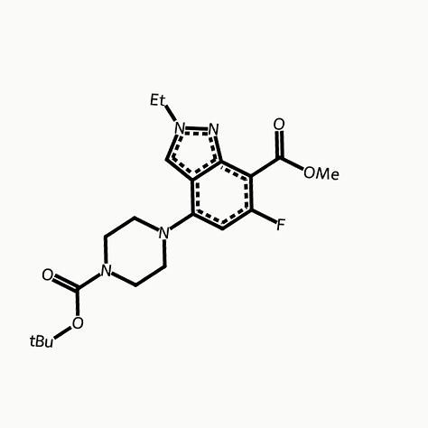 CCn1cc2c(N3CCN(C(=O)OC(C)(C)C)CC3)cc(F)c(C(=O)OC)c2n1